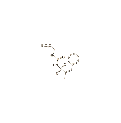 CCOC(=O)CNC(=O)NS(=O)(=O)C(C)=Cc1ccccc1